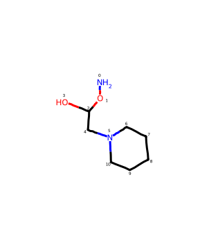 NOC(O)CN1CCCCC1